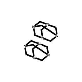 C1N2CN3CN1CN(C2)C3.C1N2CN3CN1CN(C2)C3